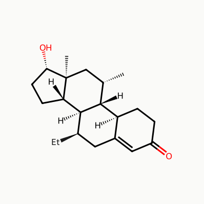 CC[C@@H]1CC2=CC(=O)CC[C@@H]2[C@@H]2[C@@H]1[C@@H]1CC[C@H](O)[C@@]1(C)C[C@@H]2C